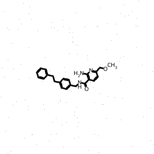 COCc1ccc(C(=O)NCc2ccc(CCc3ccccc3)cc2)c(N)n1